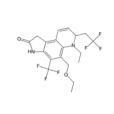 CCOCc1c2c(c3c(c1C(F)(F)F)NC(=O)C3)C=CC(CC(F)(F)F)N2CC